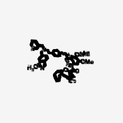 COc1cc(NC(=O)c2cc(=O)c3ccccc3o2)c(C(=O)Nc2ccc(CCN(Cc3cccnc3)Cc3ccc4cnn(C)c4c3)cc2)cc1OC